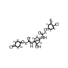 O=C(COc1ccc(Cl)c(F)c1)NC12CCC(NC(=O)COc3ccc(Cl)cc3)(CC1)C(O)C2